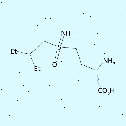 CCC(CC)CS(=N)(=O)CC[C@H](N)C(=O)O